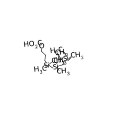 C=C[Si](C=C)(C=C)C[Si](C)(C)C[Si](C)(C)CCCOC(=O)O